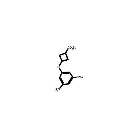 CCOC(=O)C1CC(Oc2cc(N)cc(OC)c2)C1